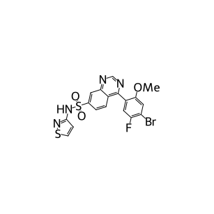 COc1cc(Br)c(F)cc1-c1ncnc2cc(S(=O)(=O)Nc3ccsn3)ccc12